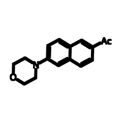 CC(=O)c1ccc2cc(N3CCOCC3)ccc2c1